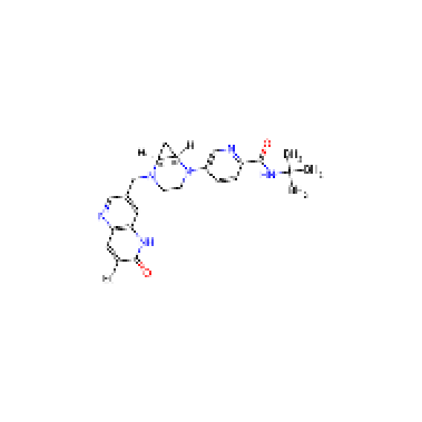 BC(B)(B)NC(=O)c1ccc(N2CCN(Cc3cnc4cc(CC)c(=O)[nH]c4c3)[C@H]3C[C@H]32)cn1